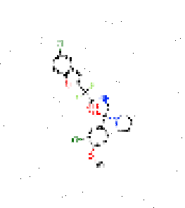 CC(C)Oc1ccc([C@](O)([C@@H](C)NC(=O)C(F)(F)c2cc3cc(Cl)ccc3o2)N2CCCC2)cc1Cl